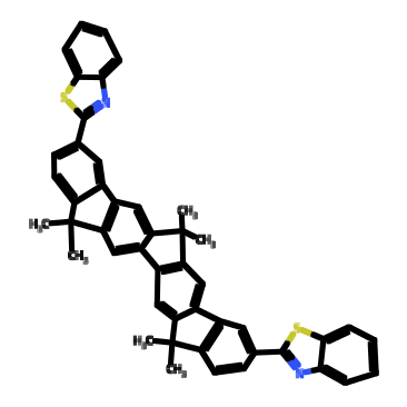 CC1(C)c2ccc(-c3nc4ccccc4s3)cc2-c2cc3c(cc21)-c1cc2c(cc1C3(C)C)-c1cc(-c3nc4ccccc4s3)ccc1C2(C)C